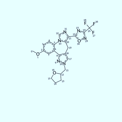 COc1ccc2c(c1)-c1nn(CC3CCCO3)cc1Cc1c(-c3nc(C(F)(F)F)no3)ncn1-2